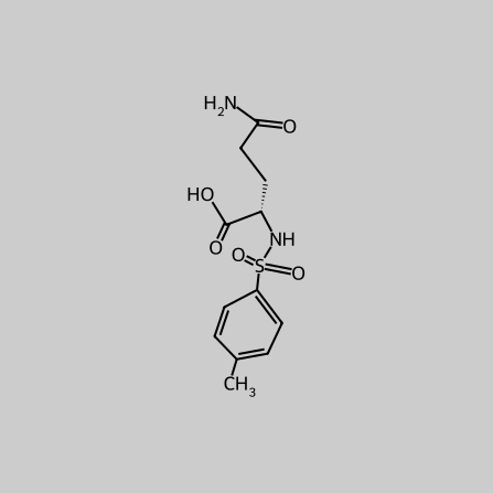 Cc1ccc(S(=O)(=O)N[C@@H](CCC(N)=O)C(=O)O)cc1